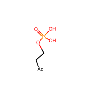 CC(=O)CCOP(=O)(O)O